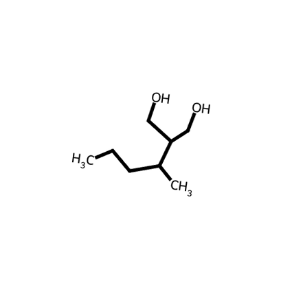 CCCC(C)C(CO)CO